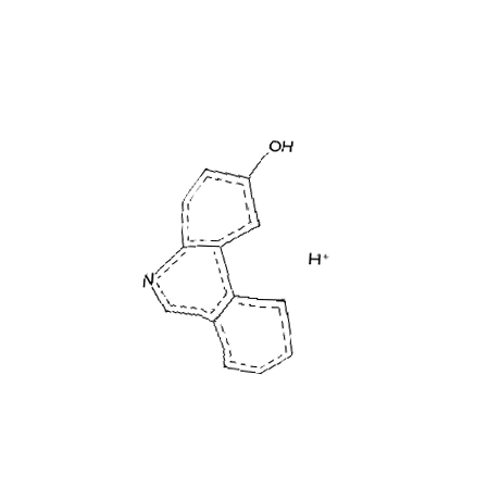 Oc1ccc2ncc3ccccc3c2c1.[H+]